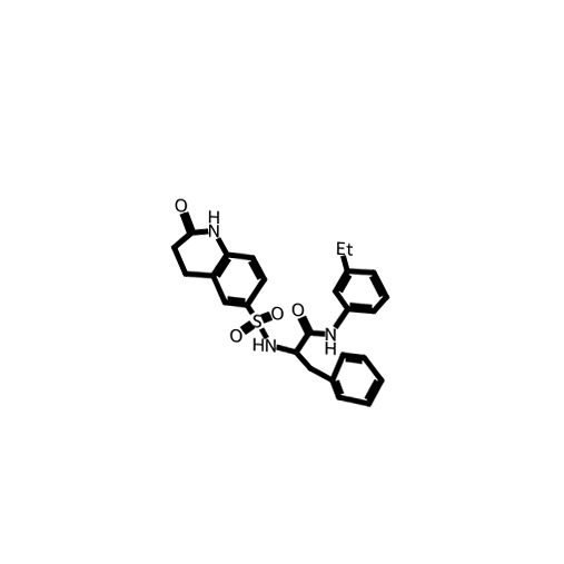 CCc1cccc(NC(=O)C(Cc2ccccc2)NS(=O)(=O)c2ccc3c(c2)CCC(=O)N3)c1